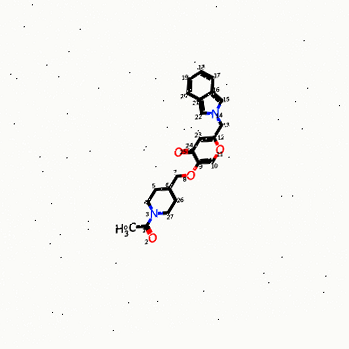 CC(=O)N1CCC(COc2coc(Cn3cc4ccccc4c3)cc2=O)CC1